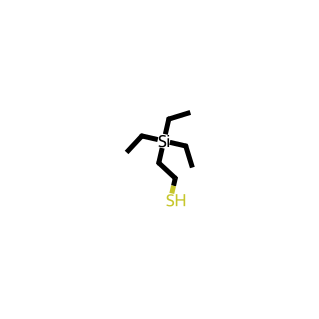 CC[Si](CC)(CC)CCS